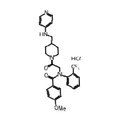 COc1ccc(C(=O)N(CC(=O)N2CCC(CNc3ccncc3)CC2)c2ccccc2C(F)(F)F)cc1.Cl